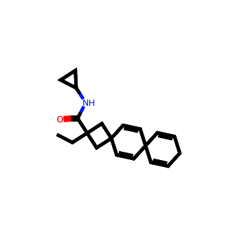 CCC1(C(=O)NC2CC2)CC2(C=CC3(C=CCC=C3)C=C2)C1